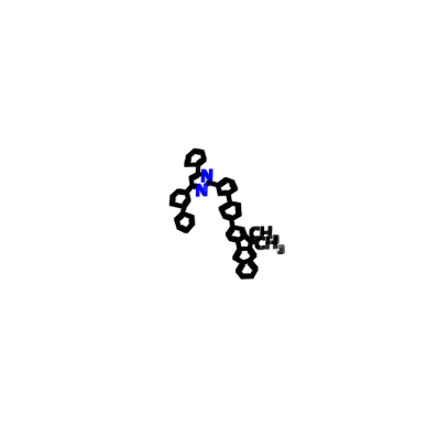 CC1(C)c2cc(-c3ccc(-c4cccc(-c5nc(-c6ccccc6)cc(-c6cccc(-c7ccccc7)c6)n5)c4)cc3)ccc2-c2cc3ccccc3cc21